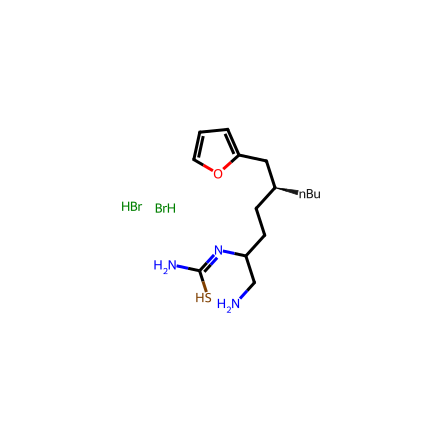 Br.Br.CCCC[C@@H](CCC(CN)N=C(N)S)Cc1ccco1